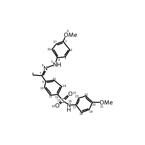 COc1ccc(NN=C(C)c2ccc(S(=O)(=O)Nc3ccc(OC)cc3)cc2)cc1